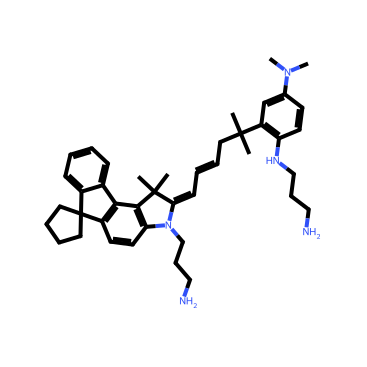 CN(C)c1ccc(NCCCN)c(C(C)(C)C/C=C/C=C2/N(CCCN)c3ccc4c(c3C2(C)C)-c2ccccc2C42CCCC2)c1